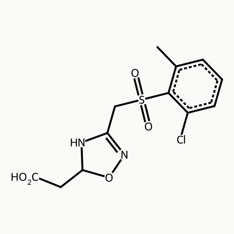 Cc1cccc(Cl)c1S(=O)(=O)CC1=NOC(CC(=O)O)N1